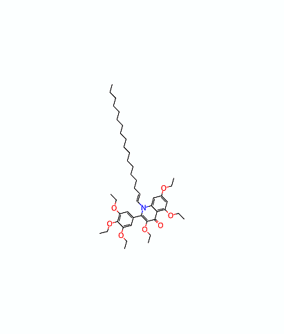 CCCCCCCCCCCCCCCCC=Cn1c(-c2cc(OCC)c(OCC)c(OCC)c2)c(OCC)c(=O)c2c(OCC)cc(OCC)cc21